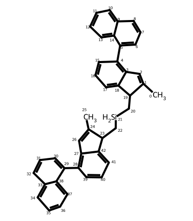 CC1=Cc2c(-c3cccc4ccccc34)cccc2C1C[SiH2]CC1C(C)=Cc2c(-c3cccc4ccccc34)cccc21